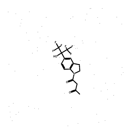 CC(=O)CC(=O)N1CCc2cc(C(O)(C(F)(F)F)C(F)(F)F)ccc21